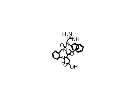 N=C(N)CN(C(=O)[N+]1(CCc2ccccc2)Cc2ccccc2NC(CC(=O)O)C1=O)c1ccccc1